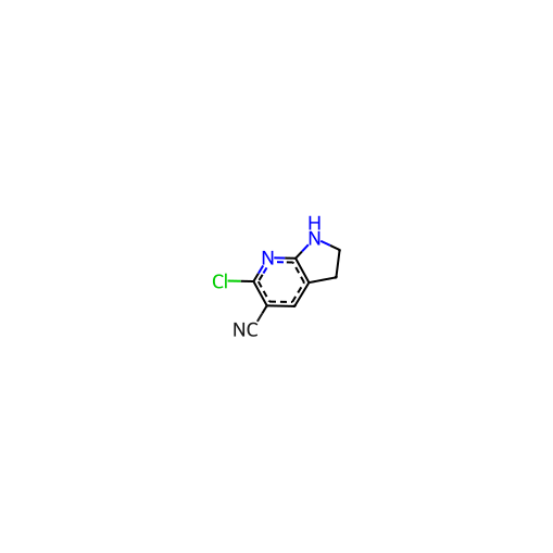 N#Cc1cc2c(nc1Cl)NCC2